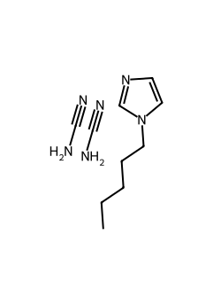 CCCCCn1ccnc1.N#CN.N#CN